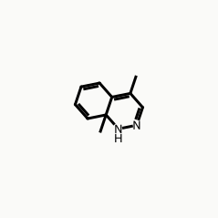 CC1=C2C=CC=CC2(C)NN=C1